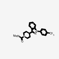 CNC(=O)N1CCC(c2nn(-c3ccc(C(F)(F)F)cc3)c3ccccc23)CC1